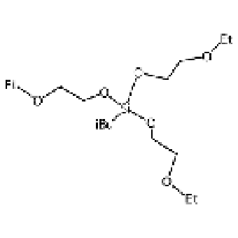 CCOCCO[Si](OCCOCC)(OCCOCC)C(C)CC